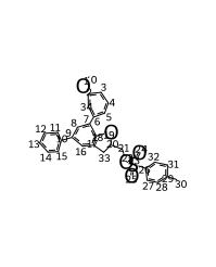 COc1cccc(-c2cc(-c3ccccc3)cc3c2OC(COS(=O)(=O)c2ccc(C)cc2)C3)c1